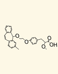 COC(Cc1ccc(OCCOC2c3ccccc3C=Cc3ccc(C)cc32)cc1)C(=O)O